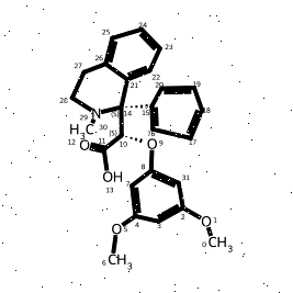 COc1cc(OC)cc(O[C@H](C(=O)O)[C@]2(c3ccccc3)c3ccccc3CCN2C)c1